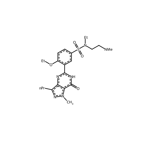 CCCc1nn(C)c2c(=O)[nH]c(-c3cc(S(=O)(=O)N(CC)CCNC)ccc3OCC)nc12